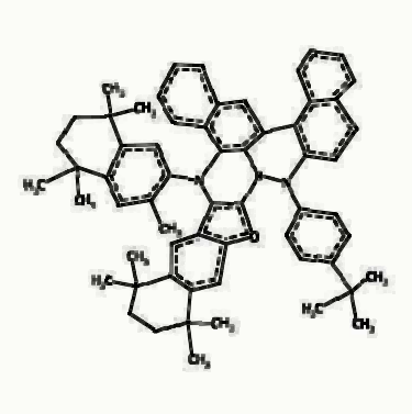 Cc1cc2c(cc1N1c3c4c(cc5ccccc35)-c3c(ccc5ccccc35)N(c3ccc(C(C)(C)C)cc3)B4c3oc4cc5c(cc4c31)C(C)(C)CCC5(C)C)C(C)(C)CCC2(C)C